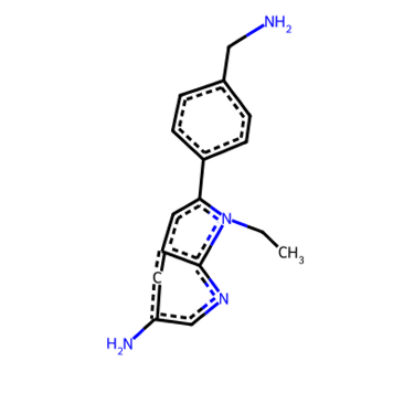 CCn1c(-c2ccc(CN)cc2)cc2cc(N)cnc21